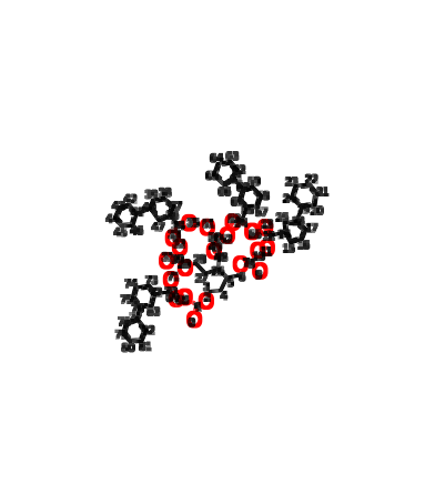 O=C(OCCC(COC(=O)OOC(=O)c1cccc(-c2ccccc2)c1)C(CCOC(=O)OOC(=O)c1cccc(-c2ccccc2)c1)COC(=O)OOC(=O)c1cccc(-c2ccccc2)c1)OOC(=O)c1cccc(-c2ccccc2)c1